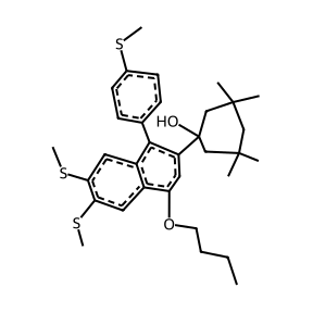 CCCCOc1cc(C2(O)CC(C)(C)CC(C)(C)C2)c(-c2ccc(SC)cc2)c2cc(SC)c(SC)cc12